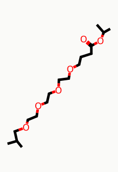 CC(C)COCCOCCOCCOCCCC(=O)OC(C)C